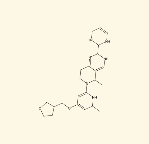 CC1C2=CNC(C3NC=CCN3)N=C2CCN1C1=CC(OCC2CCOC2)=CC(F)N1